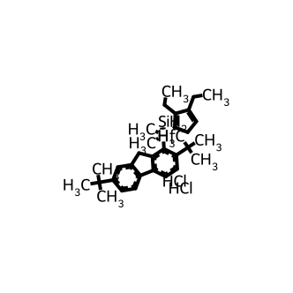 CCC1=CC[C]([Hf]([CH3])([CH3])(=[SiH2])[c]2c(C(C)(C)C)ccc3c2Cc2cc(C(C)(C)C)ccc2-3)=C1CC.Cl.Cl